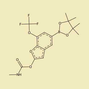 CNC(=O)Oc1cc2cc(B3OC(C)(C)C(C)(C)O3)cc(OC(F)(F)F)c2o1